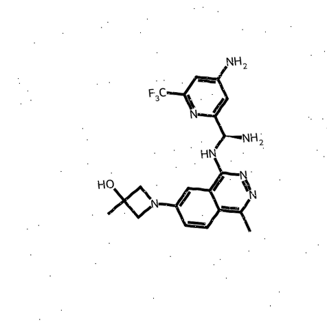 Cc1nnc(N[C@H](N)c2cc(N)cc(C(F)(F)F)n2)c2cc(N3CC(C)(O)C3)ccc12